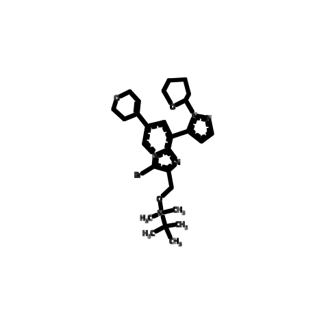 CC(C)(C)[Si](C)(C)OCc1nc2c(-c3ccnn3C3CCCCO3)cc(C3=CCOCC3)cn2c1Br